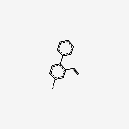 C=Cc1cc(Br)ccc1-c1ccccc1